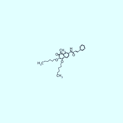 CCCCCCOc1c(OCCCCCC)c2ccc(NC(=O)C=Cc3ccccc3)cc2n(C)c1=O